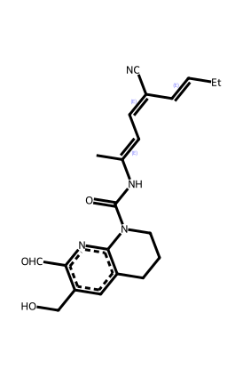 CC/C=C/C(C#N)=C\C=C(/C)NC(=O)N1CCCc2cc(CO)c(C=O)nc21